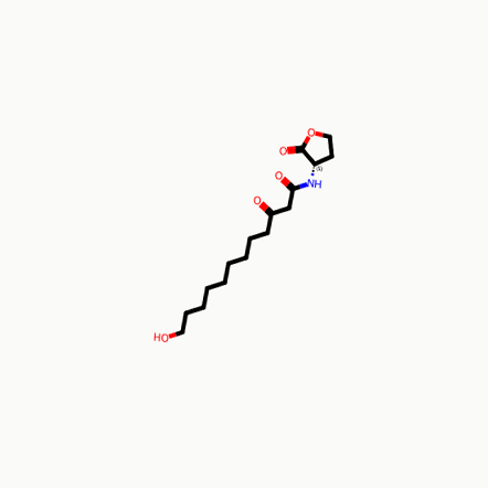 O=C(CCCCCCCCCO)CC(=O)N[C@H]1CCOC1=O